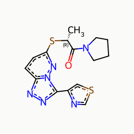 C[C@@H](Sc1ccc2nnc(-c3cscn3)n2n1)C(=O)N1CCCC1